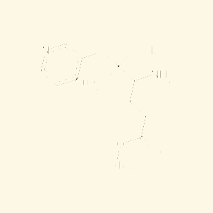 CCOC(=O)C(Oc1cccnc1)(C(=O)OCC)C(N)CCC(=O)OC(C)(C)C